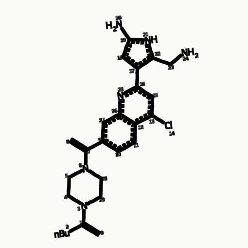 C=C(CCCC)N1CCN(C(=C)c2ccc3c(Cl)cc(-c4cc(N)[nH]c4CN)nc3c2)CC1